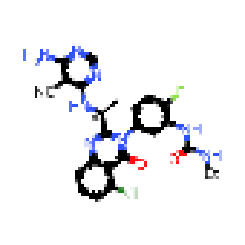 CCNC(=O)Nc1cc(-n2c([C@H](C)Nc3ncnc(N)c3C#N)nc3cccc(Cl)c3c2=O)ccc1F